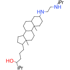 CC(C)NCCNC1CCC2(C)C(CCC3C4CCC(CCCC(O)C(C)C)C4(C)CCC32)C1